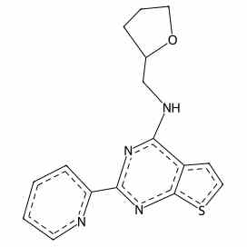 c1ccc(-c2nc(NCC3CCCO3)c3ccsc3n2)nc1